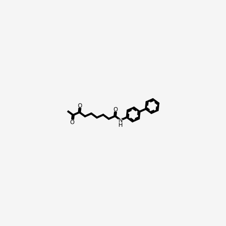 CC(=O)C(=O)CCCCCC(=O)Nc1ccc(-c2ccccc2)cc1